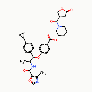 Cc1ncoc1C(=O)N[C@@H](C)[C@H](Oc1ccc(C(=O)O[C@H]2CCCN(C(=O)[C@H]3COC(=O)C3)C2)cc1)c1ccc(C2CC2)cc1